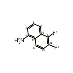 Nc1cccc2c(F)c(F)ccc12